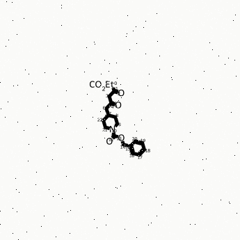 CCOC(=O)C(=O)CC(=O)CC1CCN(C(=O)OCc2ccccc2)CC1